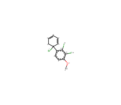 CCOc1ccc(C2(Br)C=CC=CC2)c(F)c1F